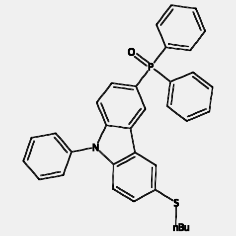 CCCCSc1ccc2c(c1)c1cc(P(=O)(c3ccccc3)c3ccccc3)ccc1n2-c1ccccc1